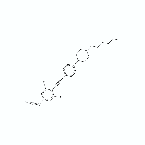 CCCCCCC1CCC(c2ccc(C#Cc3c(F)cc(N=C=S)cc3F)cc2)CC1